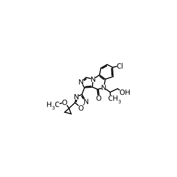 COC1(c2nc(-c3ncn4c3c(=O)n(C(C)CO)c3cc(Cl)ccc34)no2)CC1